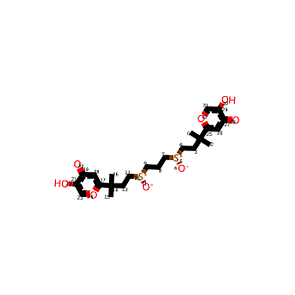 CC(C)(CC[S+]([O-])CCC[S+]([O-])CCC(C)(C)c1cc(=O)c(O)co1)c1cc(=O)c(O)co1